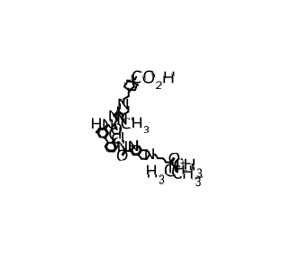 Cn1c(C(=O)Nc2cccc(-c3cccc(NC(=O)c4cc5c(cn4)CN(CCCCC(=O)[N+](C)(C)C)CC5)c3Cl)c2Cl)nc2c1CCN(CCC13CCC(C(=O)O)(CC1)C3)C2